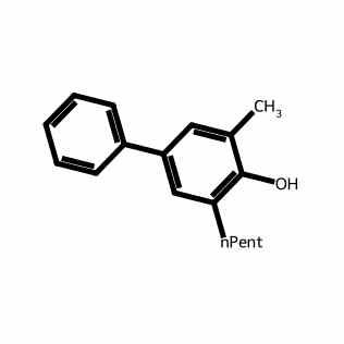 CCCCCc1cc(-c2ccccc2)cc(C)c1O